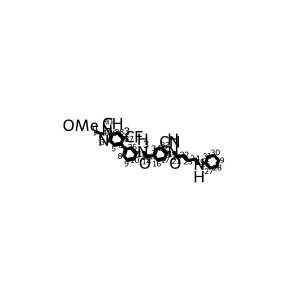 COCc1nc2cc(-c3cccc(NC(=O)c4ccc(NC(=O)/C=C/CNC5CCCCC5)c(C#N)c4)c3)c(C(F)(F)F)cc2n1C